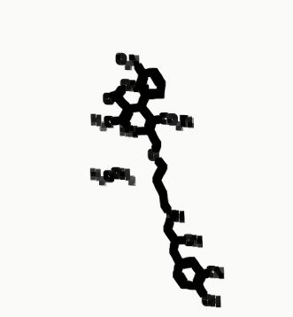 CCOC(=O)C1=C(COCCCCNCC(O)Cc2ccc(O)c(C#N)c2)NC(C)=C(C(=O)OC)C1c1cccc([N+](=O)[O-])c1.O.O